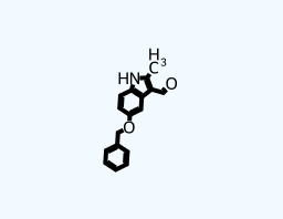 Cc1[nH]c2ccc(OCc3ccccc3)cc2c1C=O